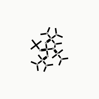 CN(C)P(C)(C)=NP(=NC(C)(C)C)(N=P(C)(N(C)C)N(C)C)N=P(N(C)C)(N(C)C)N(C)C